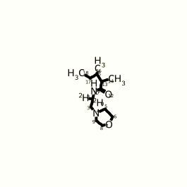 [2H]C([2H])(CN1CCOCC1)NC(=O)C(C)C(C)CC